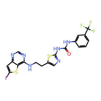 O=C(Nc1cccc(C(F)(F)F)c1)Nc1ncc(CCNc2ncnc3cc(I)sc23)s1